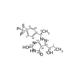 CC[C@@H](O)c1nn([C@H](C)c2ccc(C(F)(F)F)cc2)c2nc(O)[nH]c(=O)c12